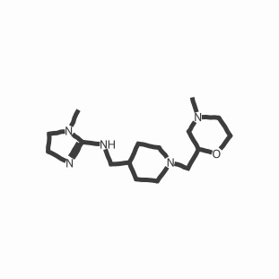 CN1CCOC(CN2CCC(CNC3=NCCN3C)CC2)C1